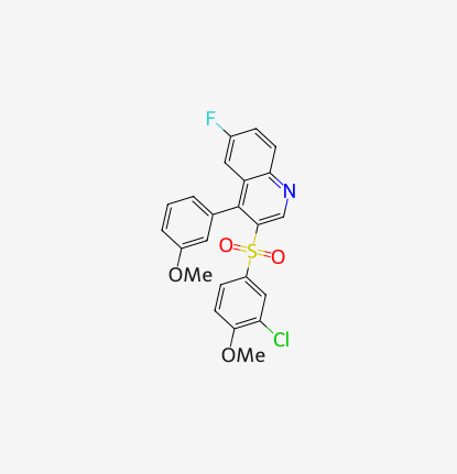 COc1cccc(-c2c(S(=O)(=O)c3ccc(OC)c(Cl)c3)cnc3ccc(F)cc23)c1